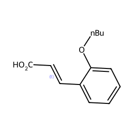 CCCCOc1ccccc1/C=C/C(=O)O